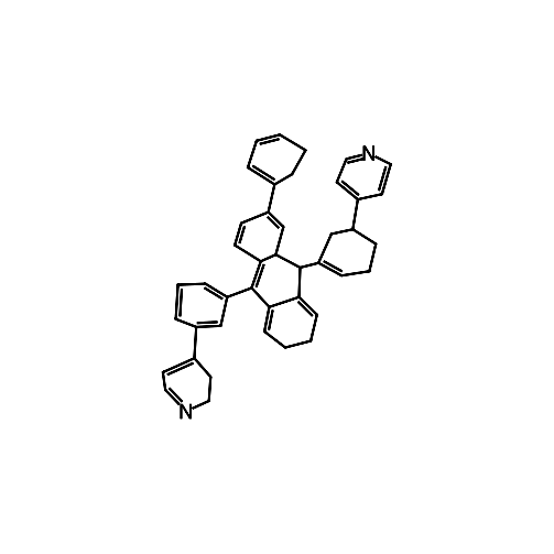 C1=CCCC(C2=CC3C(=C(c4cccc(C5=CC=NCC5)c4)C4=CCCC=C4C3C3=CCCC(c4ccncc4)C3)C=C2)=C1